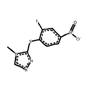 Cn1cnnc1Sc1ccc([N+](=O)[O-])cc1F